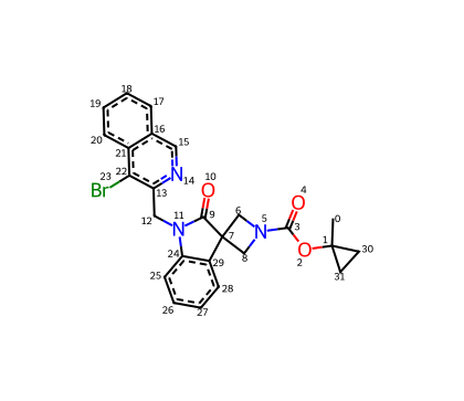 CC1(OC(=O)N2CC3(C2)C(=O)N(Cc2ncc4ccccc4c2Br)c2ccccc23)CC1